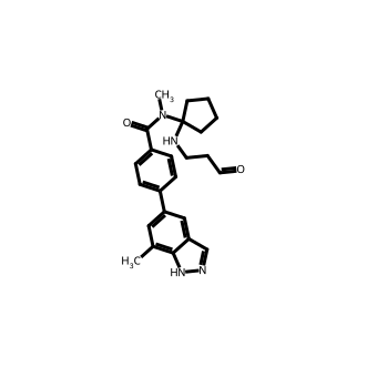 Cc1cc(-c2ccc(C(=O)N(C)C3(NCCC=O)CCCC3)cc2)cc2cn[nH]c12